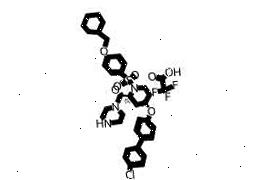 O=C(O)C(F)(F)F.O=C([C@@H]1C[C@H](Oc2ccc(-c3ccc(Cl)cc3)cc2)CCN1S(=O)(=O)c1ccc(OCC2CCCCC2)cc1)N1CCNCC1